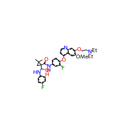 CCN(CC)CCOc1cc2nccc(Oc3ccc(NC(=O)C4(C(O)Nc5ccc(F)cc5)CC4(C)C)cc3F)c2cc1OC